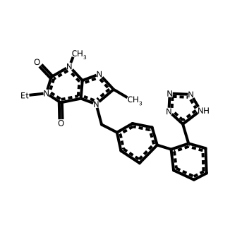 CCn1c(=O)c2c(nc(C)n2Cc2ccc(-c3ccccc3-c3nnn[nH]3)cc2)n(C)c1=O